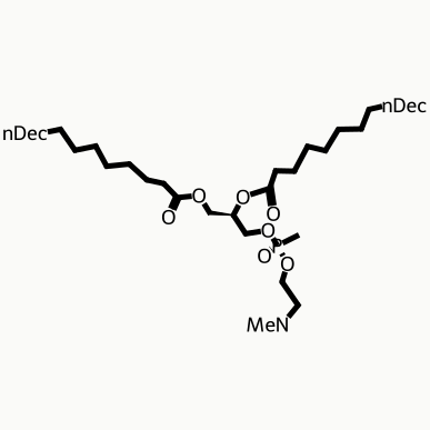 CCCCCCCCCCCCCCCCCC(=O)OC[C@H](COP(C)(=O)OCCNC)OC(=O)CCCCCCCCCCCCCCCCC